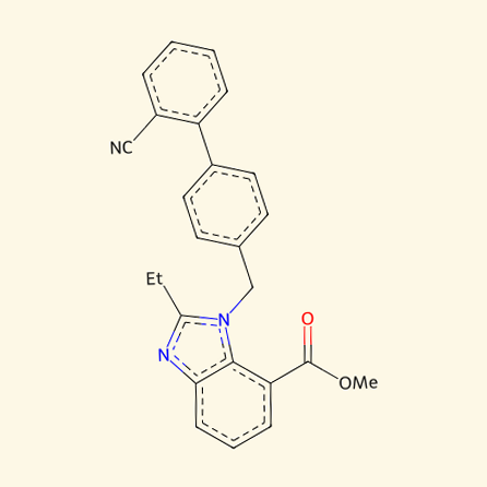 CCc1nc2cccc(C(=O)OC)c2n1Cc1ccc(-c2ccccc2C#N)cc1